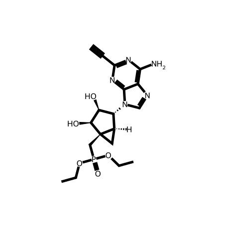 C#Cc1nc(N)c2ncn([C@H]3[C@H](O)[C@H](O)[C@@]4(CP(=O)(OCC)OCC)C[C@H]34)c2n1